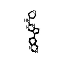 C1=C(c2ccc3ncncc3c2)c2cnc(NC3CCOCC3)nc2C1